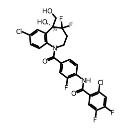 O=C(Nc1ccc(C(=O)N2CCC(F)(F)[C@](O)(CO)c3cc(Cl)ccc32)cc1F)c1cc(F)c(F)cc1Cl